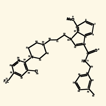 COc1cccc2c(C(=O)NCc3cccc(C)c3)cn(CCCN3CCN(c4ncc(C(F)(F)F)cc4Cl)CC3)c12